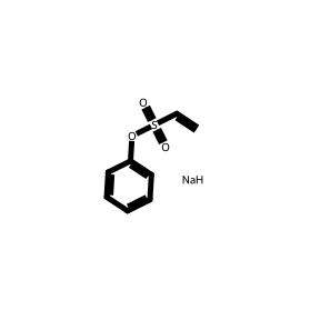 C=CS(=O)(=O)Oc1ccccc1.[NaH]